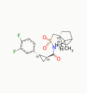 CC1(C)C2CC[C@]13CS(=O)(=O)N(C(=O)[C@H]1C[C@@H]1c1ccc(F)c(F)c1)[C@@H]3C2